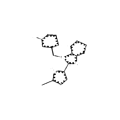 Cc1ccc(-c2nc3ccccc3n2Cc2cccc(Cl)c2)s1